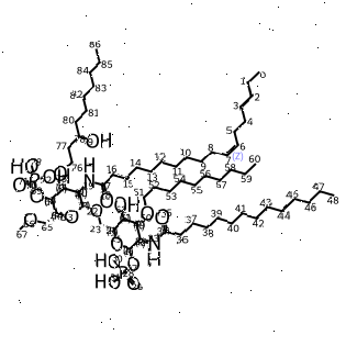 CCCCCC/C=C\CCCCCCCCCC(=O)N[C@H]1[C@H](OC[C@H]2O[C@H](OP(=O)(O)O)[C@H](NC(=O)CCCCCCCCCCCCC)[C@@H](OCCCCCCCCCC)[C@@H]2O)O[C@H](COC)[C@@H](OP(=O)(O)O)[C@@H]1OCCC(O)CCCCCCC